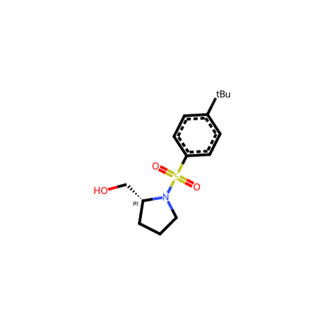 CC(C)(C)c1ccc(S(=O)(=O)N2CCC[C@@H]2CO)cc1